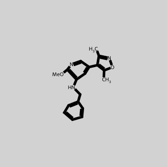 COc1ncc(-c2c(C)noc2C)cc1NCc1ccccc1